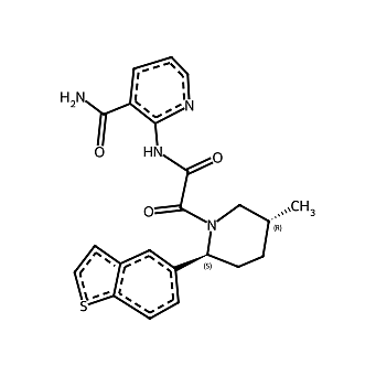 C[C@@H]1CC[C@@H](c2ccc3sccc3c2)N(C(=O)C(=O)Nc2ncccc2C(N)=O)C1